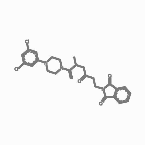 C=C(C(C)CC(=O)CCN1C(=O)c2ccccc2C1=O)N1CCN(c2cc(Cl)cc(Cl)c2)CC1